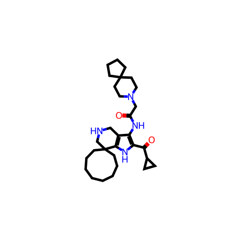 O=C(CN1CCC2(CCCC2)CC1)Nc1c(C(=O)C2CC2)[nH]c2c1CNCC21CCCCCCCC1